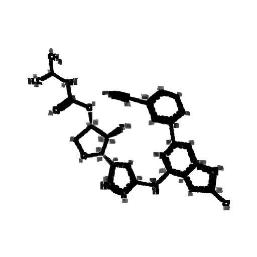 CC(C)NC(=O)O[C@H]1CO[C@@H](c2cc(Nc3nc(-c4cccc(C#N)c4)cn4nc(Cl)cc34)n[nH]2)[C@@H]1F